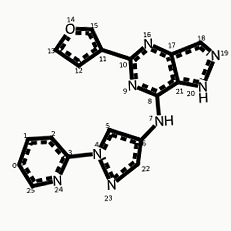 c1ccc(-n2cc(Nc3nc(-c4ccoc4)nc4cn[nH]c34)cn2)nc1